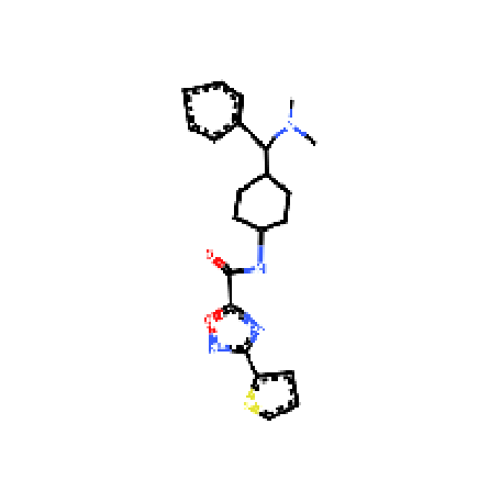 CN(C)C(c1ccccc1)C1CCC(NC(=O)c2nc(-c3cccs3)no2)CC1